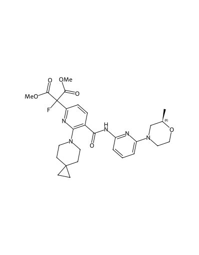 COC(=O)C(F)(C(=O)OC)c1ccc(C(=O)Nc2cccc(N3CCO[C@H](C)C3)n2)c(N2CCC3(CC2)CC3)n1